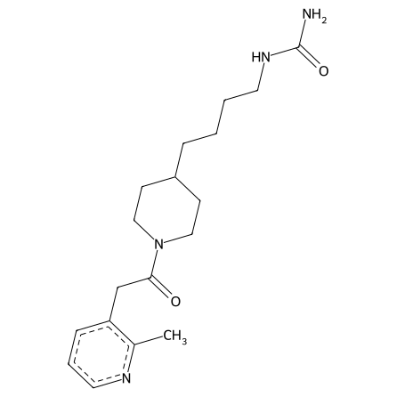 Cc1ncccc1CC(=O)N1CCC(CCCCNC(N)=O)CC1